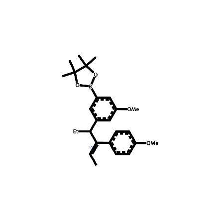 C/C=C(\c1ccc(OC)cc1)C(CC)c1cc(OC)cc(B2OC(C)(C)C(C)(C)O2)c1